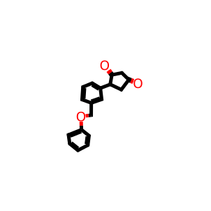 O=C1CC(=O)C(c2cccc(COc3ccccc3)c2)C1